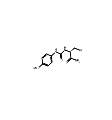 CSc1ccc(NC(=O)N[C@@H](CC(C)C)C(N)=O)cc1